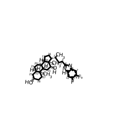 CC(CCc1nc2cc(F)c(F)cc2[nH]1)[C@H]1CC[C@H]2[C@@H]3CC[C@@H]4C[C@H](O)CC[C@]4(C)[C@H]3C[C@H](O)[C@]12C